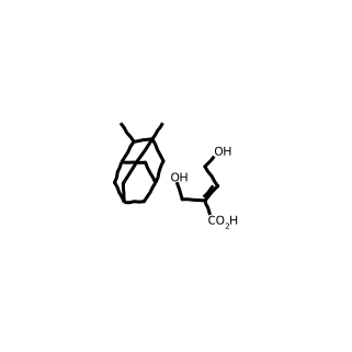 CC1C2CC3CC(C2)CC1(C)C3.O=C(O)C(=CCO)CO